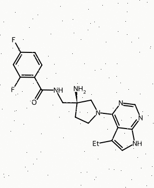 CCc1c[nH]c2ncnc(N3CC[C@](N)(CNC(=O)c4ccc(F)cc4F)C3)c12